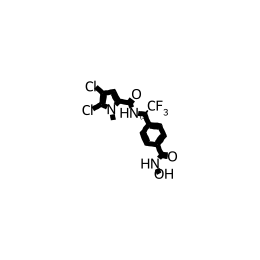 Cn1c(C(=O)N[C@@H](c2ccc(C(=O)NO)cc2)C(F)(F)F)cc(Cl)c1Cl